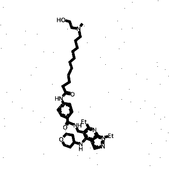 CCc1nc2c(cnn2CC)c(NC2CCOCC2)c1CNC(=O)c1ccc(NC(=O)CCCCCCCCCCN(C)CCO)cc1